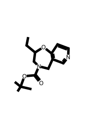 CCC1CN(C(=O)OC(C)(C)C)Cc2cnccc2O1